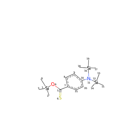 C[Si](C)(C)OC(=S)c1ccc(N([Si](C)(C)C)[Si](C)(C)C)cc1